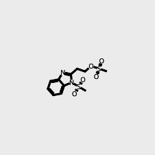 CS(=O)(=O)OCCc1nc2ccccc2n1S(C)(=O)=O